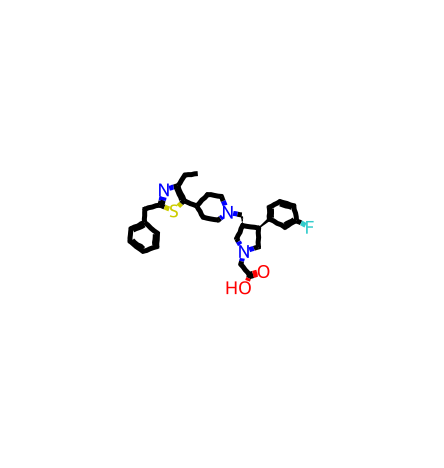 CCc1nc(Cc2ccccc2)sc1C1CCN(C[C@H]2CN(CC(=O)O)C[C@@H]2c2cccc(F)c2)CC1